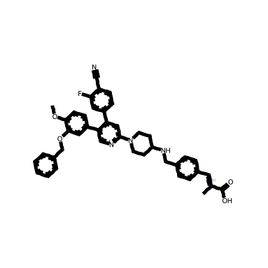 COc1ccc(-c2cnc(N3CCC(NCc4ccc(/C=C(\C)C(=O)O)cc4)CC3)cc2-c2ccc(C#N)c(F)c2)cc1OCc1ccccc1